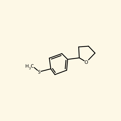 CSc1ccc(C2CCCO2)cc1